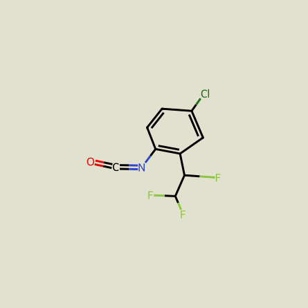 O=C=Nc1ccc(Cl)cc1C(F)C(F)F